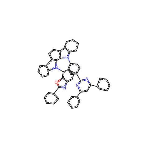 c1ccc(-c2cc(-c3ccccc3)nc(-c3ccc(-n4c5ccccc5c5ccc6c7ccccc7n(-c7cccc8nc(-c9ccccc9)oc78)c6c54)cc3)n2)cc1